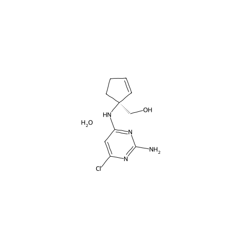 Nc1nc(Cl)cc(N[C@]2(CO)C=CCC2)n1.O